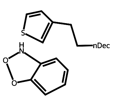 CCCCCCCCCCCCc1ccsc1.c1ccc2c(c1)NOO2